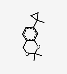 CC1(C)OCc2ccc(C3(C)CC3)cc2O1